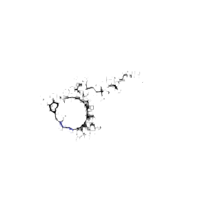 COc1cc2cc(c1Cl)N(C)C(=O)C[C@H](OC(=O)[C@H](C)N(C)C(=O)CCC(C)(C)SCC(=O)NCCN)[C@@]1(C)C[C@H]1[C@H](C)[C@@H]1C[C@@](O)(NC(=O)O1)[C@H](OC)/C=C/C=C(\C)C2